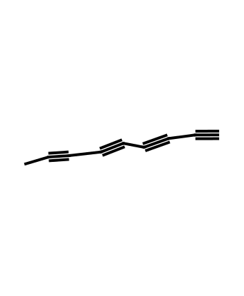 C#CC#CC#CC#CC